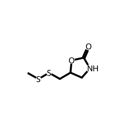 CSSCC1CNC(=O)O1